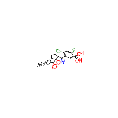 COC(=O)C12CCCC1C(c1cc(B(O)O)c(F)cc1Cl)=NO2